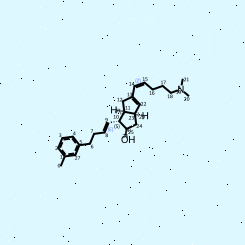 Cc1cccc(CC/C=C/[C@@H]2[C@H]3CC(/C=C\CCCN(C)C)=C[C@H]3C[C@H]2O)c1